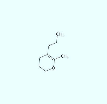 CCCC1=C(C)OCCC1